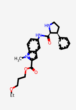 CCOCCCOC(=O)c1cc2cc(NC(=O)[C@H]3NCC[C@H]3c3ccccc3)ccc2n1C